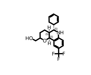 OCC1CC[C@@H]2[C@H](O1)c1cc(C(F)(F)F)ccc1N[C@H]2C1C=CC=CC1